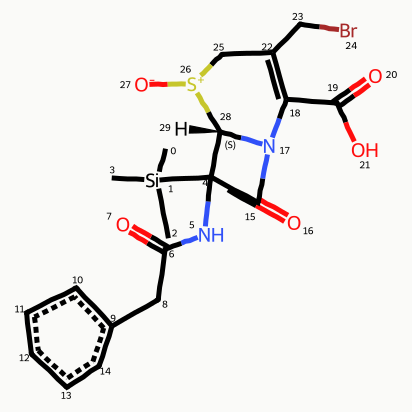 C[Si](C)(C)C1(NC(=O)Cc2ccccc2)C(=O)N2C(C(=O)O)=C(CBr)C[S+]([O-])[C@H]21